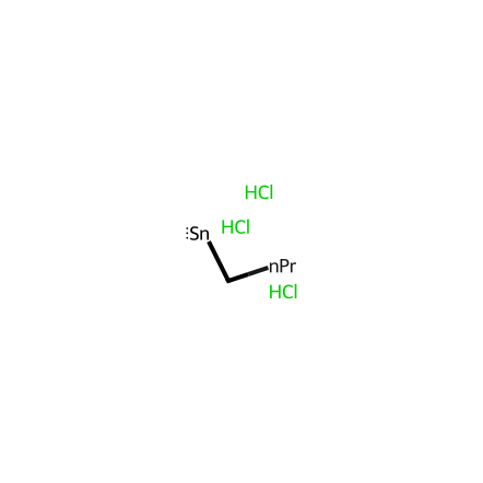 CCC[CH2][Sn].Cl.Cl.Cl